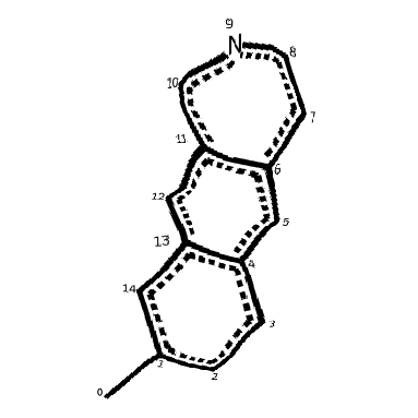 Cc1ccc2cc3ccncc3cc2c1